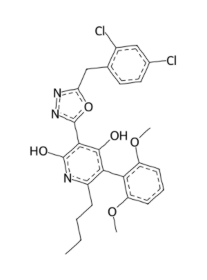 CCCCc1nc(O)c(-c2nnc(Cc3ccc(Cl)cc3Cl)o2)c(O)c1-c1c(OC)cccc1OC